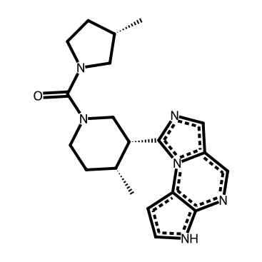 C[C@H]1CCN(C(=O)N2CC[C@@H](C)[C@@H](c3ncc4cnc5[nH]ccc5n34)C2)C1